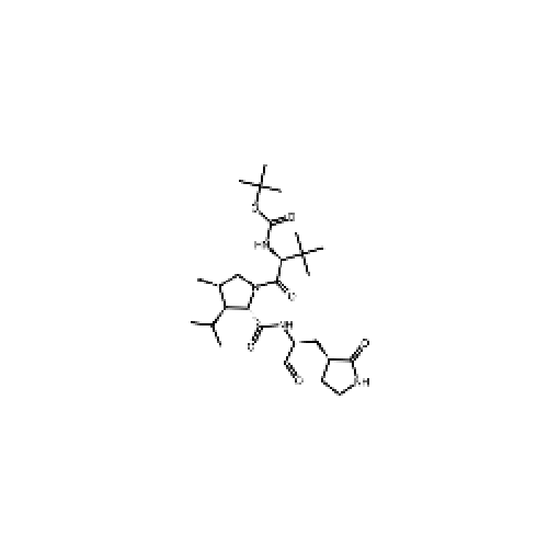 CC(C)[C@@H]1[C@@H](C(=O)N[C@H](C=O)C[C@@H]2CCNC2=O)N(C(=O)[C@@H](NC(=O)OC(C)(C)C)C(C)(C)C)C[C@@H]1C